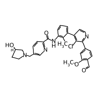 COc1cc(-c2nccc(-c3cccc(NC(=O)c4ccc(CN5CC[C@@H](O)C5)cn4)c3C)c2Cl)ccc1C=O